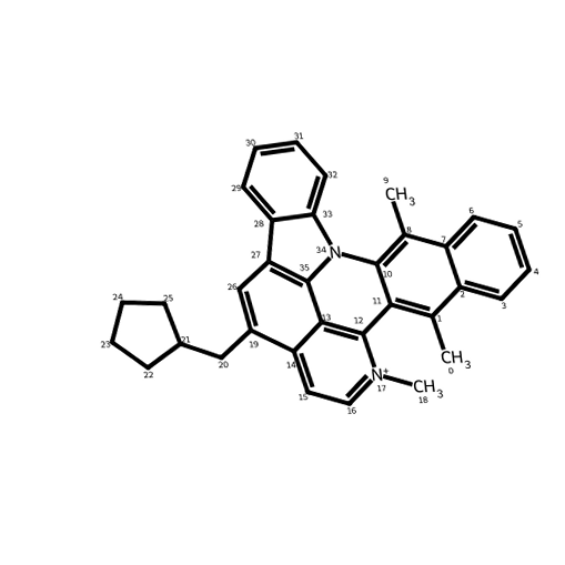 Cc1c2ccccc2c(C)c2c1c1c3c(cc[n+]1C)c(CC1CCCC1)cc1c4ccccc4n2c13